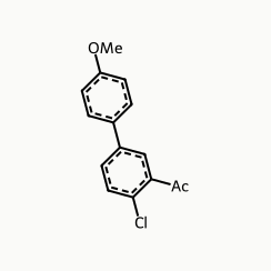 COc1ccc(-c2ccc(Cl)c(C(C)=O)c2)cc1